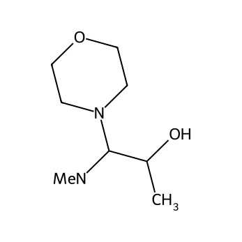 CNC(C(C)O)N1CCOCC1